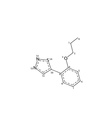 CCCOc1ccccc1-c1[c]nns1